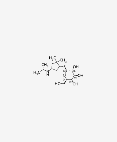 CC(C)NC1CC(S[C@@H]2O[C@H](CO)[C@H](O)[C@H](O)[C@H]2O)C(C)(C)C1